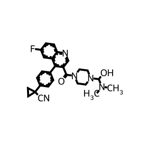 CN(C)C(O)N1CCN(C(=O)c2cnc3ccc(F)cc3c2-c2ccc(C3(C#N)CC3)cc2)CC1